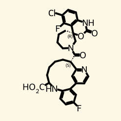 O=C1Nc2ccc(Cl)c(F)c2[C@@]2(CCCCN(C(=O)[C@H]3CCCCC(C(=O)O)Nc4ccc(F)cc4-c4ccnc3c4)C2)O1